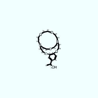 CC(O)c1ccc2c(c1)OCCN1CCOCCOCCN(CCOCC1)CCO2